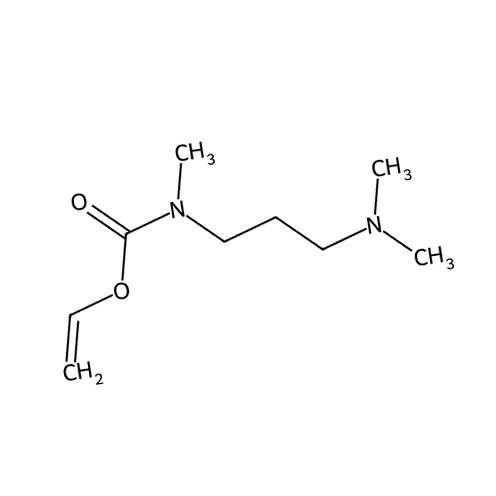 C=COC(=O)N(C)CCCN(C)C